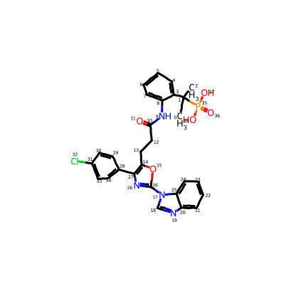 CC(C)(c1ccccc1NC(=O)CCc1oc(-n2cnc3ccccc32)nc1-c1ccc(Cl)cc1)P(=O)(O)O